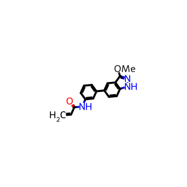 C=CC(=O)Nc1cccc(-c2ccc3[nH]nc(OC)c3c2)c1